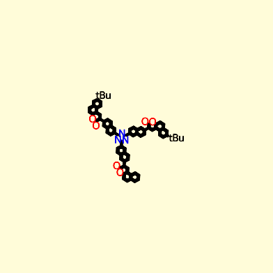 CC(C)(C)c1ccc2c(ccc3oc(=O)c(-c4ccc5cc(-c6nc(-c7ccc8cc(-c9cc%10c(ccc%11ccccc%11%10)oc9=O)ccc8c7)nc(-c7ccc8cc(-c9cc%10c(ccc%11cc(C(C)(C)C)ccc%11%10)oc9=O)ccc8c7)n6)ccc5c4)cc32)c1